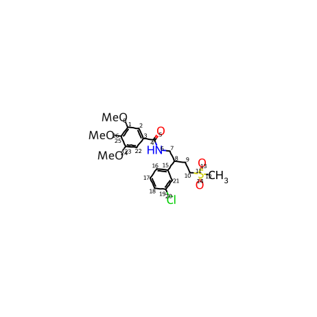 COc1cc(C(=O)NCC(CCS(C)(=O)=O)c2cccc(Cl)c2)cc(OC)c1OC